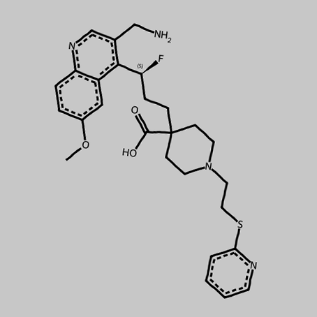 COc1ccc2ncc(CN)c([C@@H](F)CCC3(C(=O)O)CCN(CCSc4ccccn4)CC3)c2c1